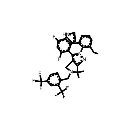 CCc1cccc(CC)c1-n1nc2c(c1-c1c(F)cc(F)c3[nH]ccc13)CN(Cc1ccc(C(F)(F)F)cc1C(F)(F)F)C2(C)C